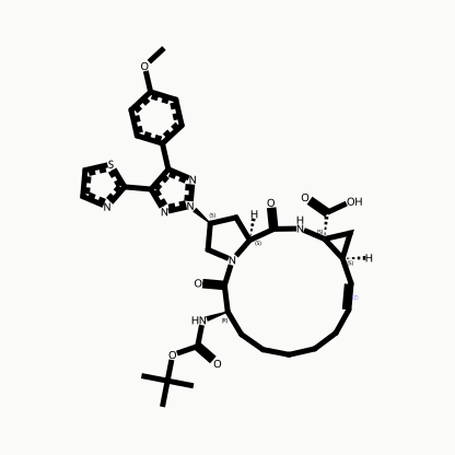 COc1ccc(-c2nn([C@H]3C[C@H]4C(=O)N[C@@]5(C(=O)O)C[C@H]5/C=C\CCCCC[C@@H](NC(=O)OC(C)(C)C)C(=O)N4C3)nc2-c2nccs2)cc1